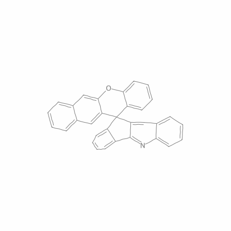 c1ccc2c(c1)Oc1cc3ccccc3cc1C21c2ccccc2-c2nc3ccccc3cc21